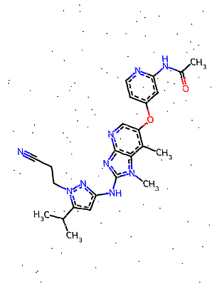 CC(=O)Nc1cc(Oc2cnc3nc(Nc4cc(C(C)C)n(CCC#N)n4)n(C)c3c2C)ccn1